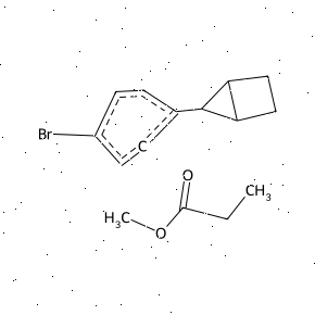 Brc1ccc(C2C3CCC32)cc1.CCC(=O)OC